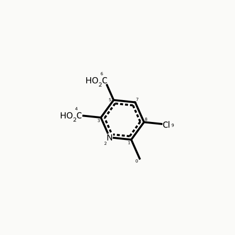 Cc1nc(C(=O)O)c(C(=O)O)cc1Cl